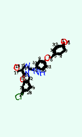 COc1ccc(COc2ccc(Nc3ncc(C=O)c(=O)n3Cc3ccc(Cl)cc3)cc2)cc1